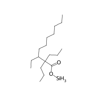 CCCCCCCC(CC)C(CCC)(CCC)C(=O)O[SiH3]